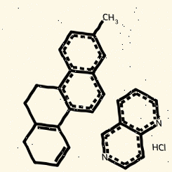 Cc1ccc2c3c(ccc2c1)C1=C(CCC=C1)CC3.Cl.c1cnc2ccncc2c1